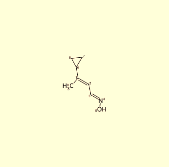 CC(=CC=NO)C1CC1